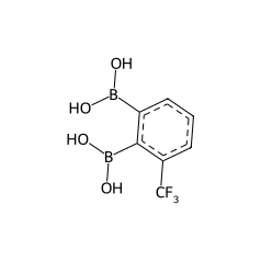 OB(O)c1cccc(C(F)(F)F)c1B(O)O